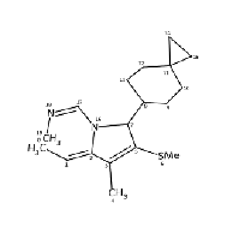 C/C=C1/C(C)=C(SC)C(C2CCC3(CC2)CC3)N1/C=N\C